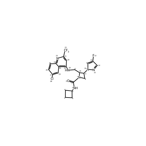 O=C(NC1CCC1)N1CC(n2cc(F)cn2)C1CNc1cc(C(F)(F)F)nc2ccc(Cl)cc12